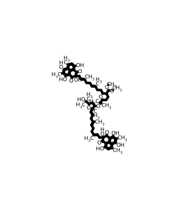 COC(OC)C1CCC(C(C)(C)OC2CC(C(C)(C)O)OC2(C)/C=C/C/C(C)=C/CC/C(C)=C/CC2(O)C(=O)c3c(O)cc(C)c4c(O)c(C)c(O)c(c34)C2=O)OC1CC/C(C)=C/CC/C(C)=C/CC1(O)C(=O)c2c(O)cc(C)c3c(O)c(C)c(O)c(c23)C1=O